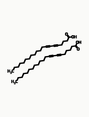 CCCCCCCCCCCCC#CC#CCCCC(=O)O.CCCCCCCCCCCCC#CC#CCCCCC(=O)O